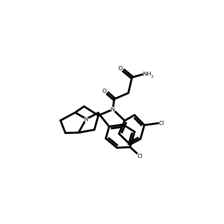 NC(=O)CC(=O)N(c1cccc(Cl)c1)C1CC2CCC(C1)N2Cc1ccc(Cl)cc1